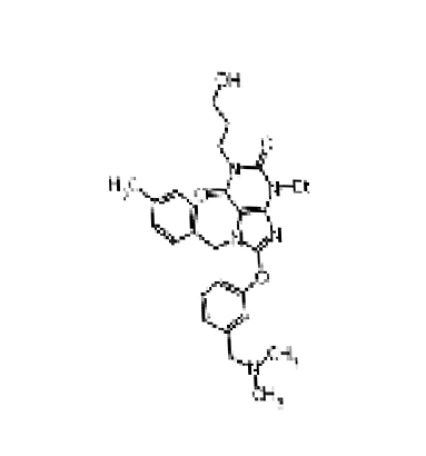 CCn1c(=O)n(CCCO)c(=O)c2c1nc(Oc1cccc(CN(C)C)c1)n2Cc1ccc(C)cc1